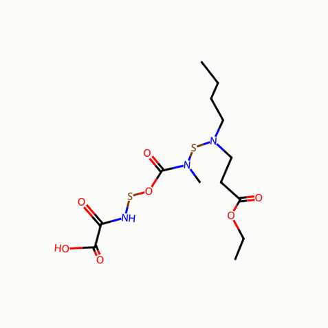 CCCCN(CCC(=O)OCC)SN(C)C(=O)OSNC(=O)C(=O)O